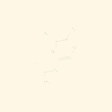 COC(C)Nc1nc(C#N)c(C#N)nc1Cl